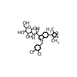 Cc1noc(C)c1-c1ccc2c(C(=O)N[C@H]3C(O)OC(CO)[C@@H](O)C3O)cn(Cc3ccc(Cl)c(Cl)c3)c2c1